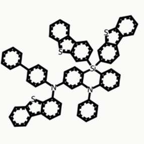 c1ccc(-c2ccc(N(c3ccc4c(c3)N(c3ccccc3)c3ccccc3[Si]4(c3ccc4c(c3)sc3ccccc34)c3ccc4c(c3)sc3ccccc34)c3cccc4c3sc3ccccc34)cc2)cc1